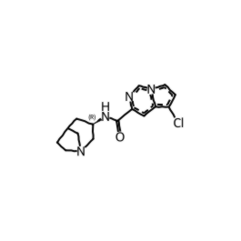 O=C(N[C@@H]1CC2CCN(C2)C1)c1cc2c(Cl)ccn2cn1